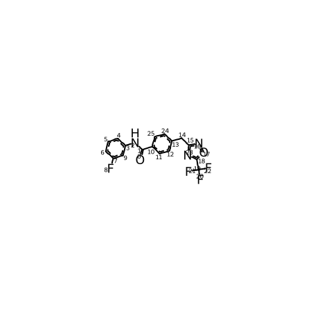 O=C(Nc1cccc(F)c1)c1ccc(Cc2noc(C(F)(F)F)n2)cc1